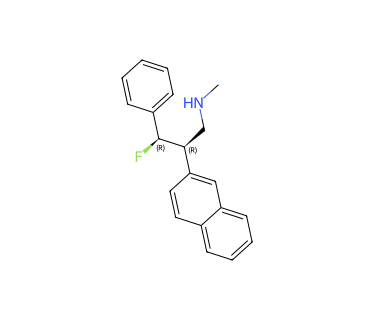 CNC[C@@H](c1ccc2ccccc2c1)[C@@H](F)c1ccccc1